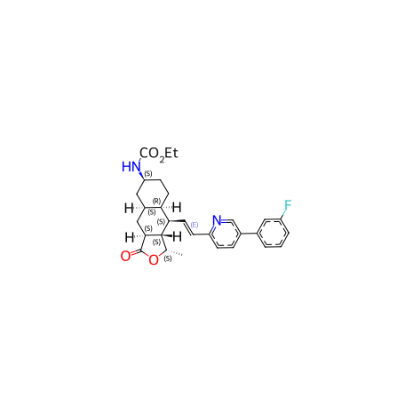 CCOC(=O)N[C@H]1CC[C@@H]2[C@H](C1)C[C@@H]1C(=O)O[C@@H](C)[C@H]1[C@@H]2/C=C/c1ccc(-c2cccc(F)c2)cn1